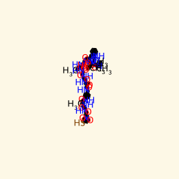 CCCC(NC(=O)CNC(=O)[C@@H](Cc1c(SC)[nH]c2ccccc12)NC(=O)C(NC(=O)[C@@H]1CCCN1C)[C@@H](C)[C@@H](O)CO)C(=O)NCC(=O)NCC(=O)N[C@H](C=O)CC(=O)NCc1ccc(NC(=O)[C@H](C)NC(=O)CNC(=O)CCN2C(=O)CC(S)C2=O)cc1